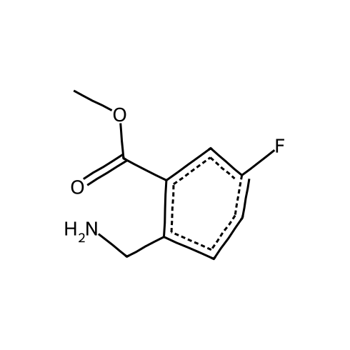 COC(=O)c1cc(F)ccc1CN